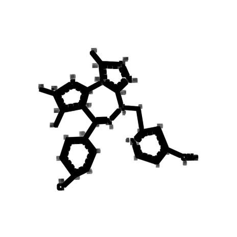 COc1ccnc(CN2N=C(c3ccc(Cl)cc3)c3c(sc(C)c3C)-n3c(C)nnc32)c1